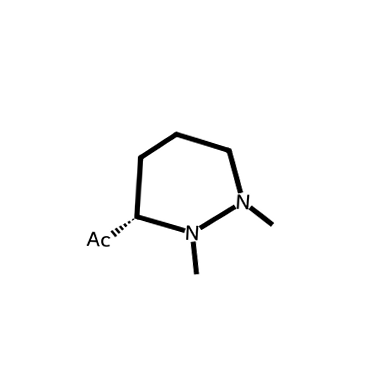 CC(=O)[C@@H]1CCCN(C)N1C